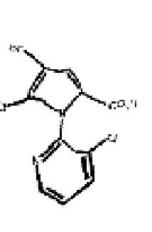 O=C(O)c1cc(Br)c(Cl)n1-c1ncccc1Cl